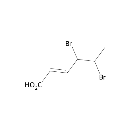 CC(Br)C(Br)/C=C/C(=O)O